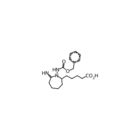 N=C1CCCCC(CCCCC(=O)O)N1NC(=O)OCc1ccccc1